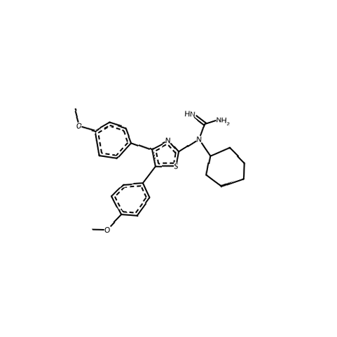 COc1ccc(-c2nc(N(C(=N)N)C3CCCCC3)sc2-c2ccc(OC)cc2)cc1